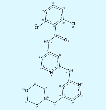 O=C(Nc1ccnc(Nc2cc(CN3CCOCC3)ccn2)c1)c1c(Cl)cccc1Cl